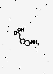 N[C@H]1CCc2ccc(C=CC(=O)O)cc2C1